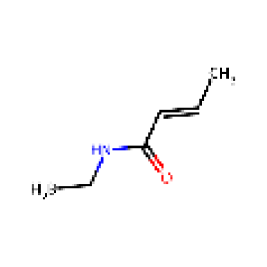 BCNC(=O)/C=C/C